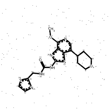 COc1ncc(C2CCOCC2)c2sc(NC(=O)NCc3nccs3)nc12